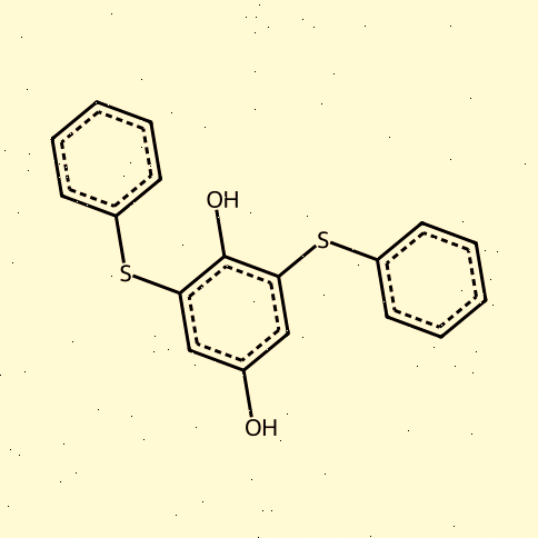 Oc1cc(Sc2ccccc2)c(O)c(Sc2ccccc2)c1